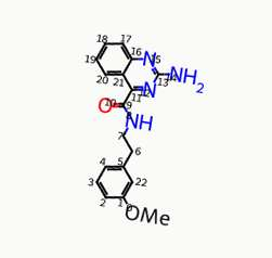 COc1cccc(CCNC(=O)c2nc(N)nc3ccccc23)c1